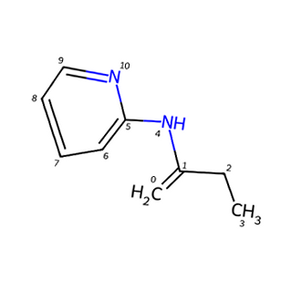 C=C(CC)Nc1ccccn1